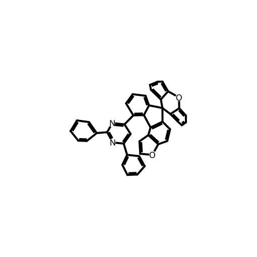 c1ccc(-c2cc(-c3cccc4c3-c3c(ccc5occc35)C43c4ccccc4Oc4ccccc43)nc(-c3ccccc3)n2)cc1